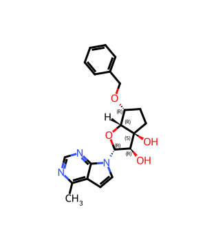 Cc1ncnc2c1ccn2[C@@H]1O[C@@H]2[C@H](OCc3ccccc3)CC[C@]2(O)[C@H]1O